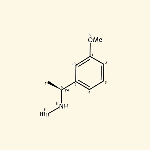 COc1cccc([C@H](C)NC(C)(C)C)c1